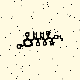 CC(Br)C(Br)C(=O)NC(=O)Nc1ccc(Cl)cc1Cl